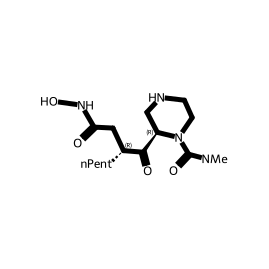 CCCCC[C@H](CC(=O)NO)C(=O)[C@H]1CNCCN1C(=O)NC